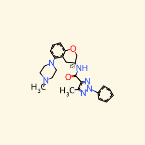 Cc1nn(-c2ccccc2)nc1C(=O)N[C@@H]1COc2cccc(N3CCN(C)CC3)c2C1